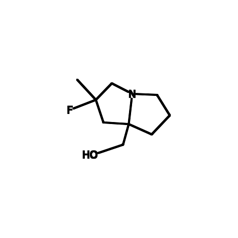 CC1(F)CN2CCCC2(CO)C1